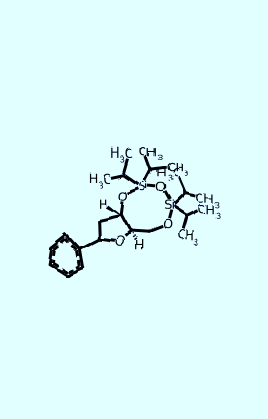 CC(C)[Si]1(C(C)C)OC[C@H]2OC(c3ccccc3)C[C@@H]2O[Si](C(C)C)(C(C)C)O1